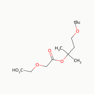 CC(C)(C)OCCC(C)(C)OC(=O)COCC(=O)O